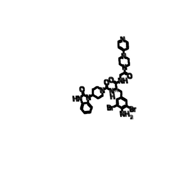 Nc1c(Br)cc(C[C@@H](NC(=O)N2CCC(n3c(=O)[nH]c4ccccc43)CC2)C(=O)NCC(=O)N2CCN(c3ccncc3)CC2)cc1Br